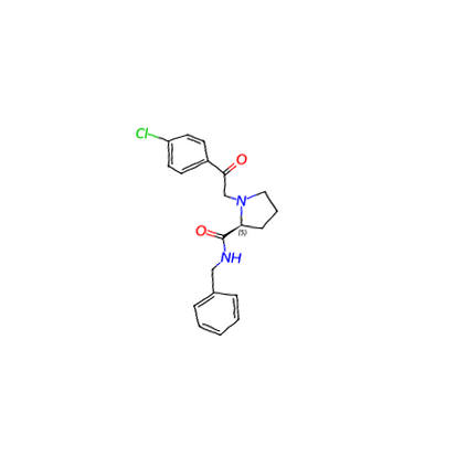 O=C(CN1CCC[C@H]1C(=O)NCc1ccccc1)c1ccc(Cl)cc1